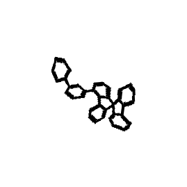 c1ccc(-c2cccc(-c3cccc4c3-c3ccccc3C43c4ccccc4-c4ccccc43)c2)cc1